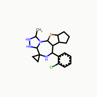 CC1NNC2N1C1SC3CCCC3C1C(c1ccccc1Cl)NC21CC1